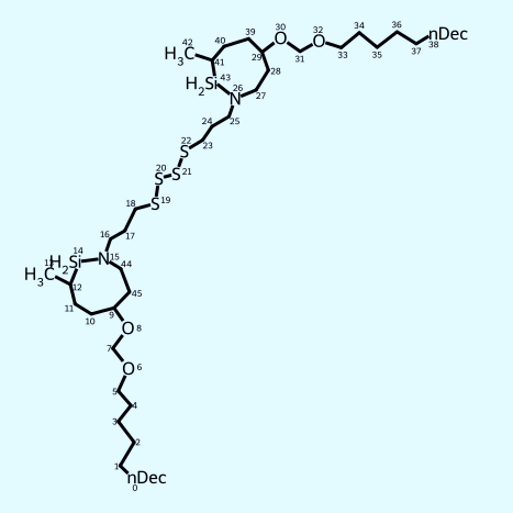 CCCCCCCCCCCCCCCOCOC1CCC(C)[SiH2]N(CCCSSSSCCCN2CCC(OCOCCCCCCCCCCCCCCC)CCC(C)[SiH2]2)CC1